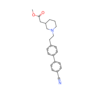 COC(=O)CC1CCCN(CCc2ccc(-c3ccc(C#N)cc3)cc2)C1